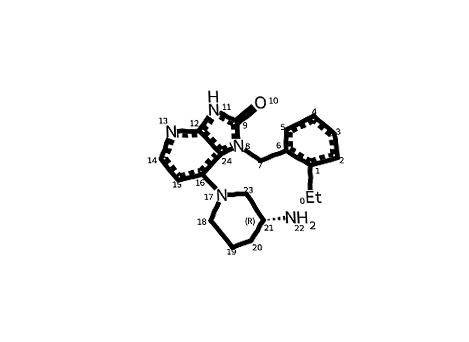 CCc1ccccc1Cn1c(=O)[nH]c2nccc(N3CCC[C@@H](N)C3)c21